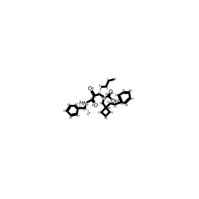 CCCC[C@@H](C(=O)C(=O)N[C@H](C)c1ccccc1)N(CC1(CCc2ccccc2)CCC1)C(=O)O